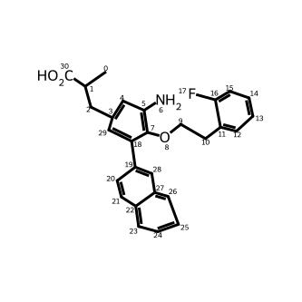 CC(Cc1cc(N)c(OCCc2ccccc2F)c(-c2ccc3ccccc3c2)c1)C(=O)O